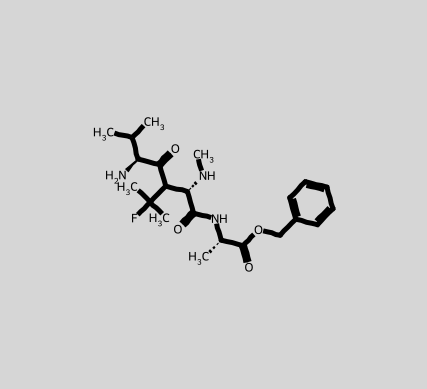 CN[C@H](C(=O)N[C@@H](C)C(=O)OCc1ccccc1)C(C(=O)[C@@H](N)C(C)C)C(C)(C)F